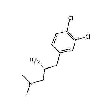 CN(C)C[C@H](N)Cc1ccc(Cl)c(Cl)c1